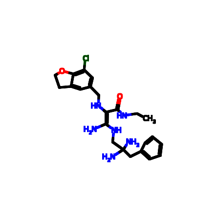 CCNC(=O)/C(NCc1cc(Cl)c2c(c1)CCO2)=C(/N)NCC(N)(N)Cc1ccccc1